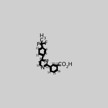 CC(F)(F)c1ccc(-c2ccnc(-c3cccc(C(=O)O)c3)n2)cc1